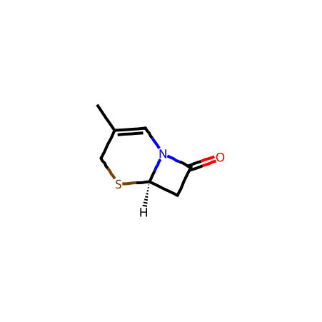 CC1=CN2C(=O)C[C@H]2SC1